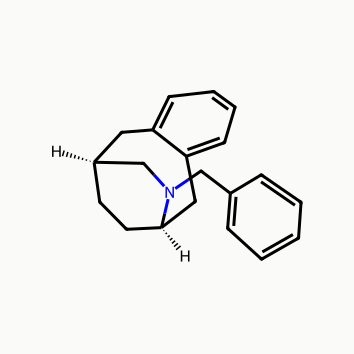 c1ccc(CN2C[C@H]3CC[C@@H]2Cc2ccccc2C3)cc1